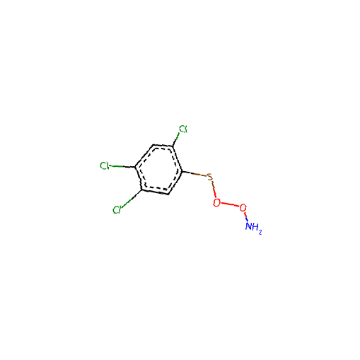 NOOSc1cc(Cl)c(Cl)cc1Cl